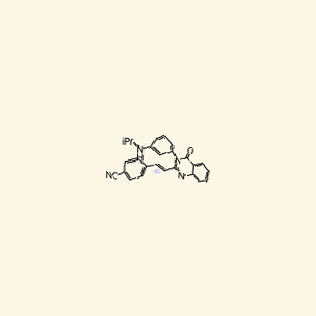 CC(C)Nc1cccc(-n2c(/C=C/c3ccc(C#N)cc3)nc3ccccc3c2=O)c1